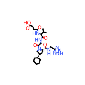 CC(C)[C@H](NC(=O)CCC(=O)O)C(=O)NCC(=O)N1C[C@H](C2CCCCC2)C[C@H]1C(=O)NCc1nn[nH]n1